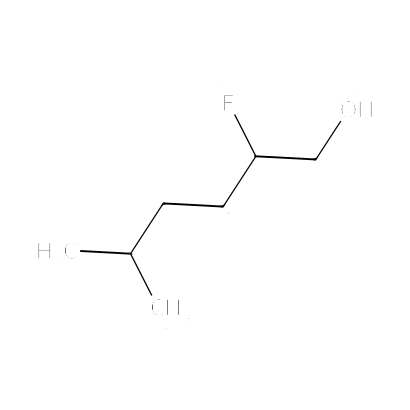 CC(C)CCC(F)CO